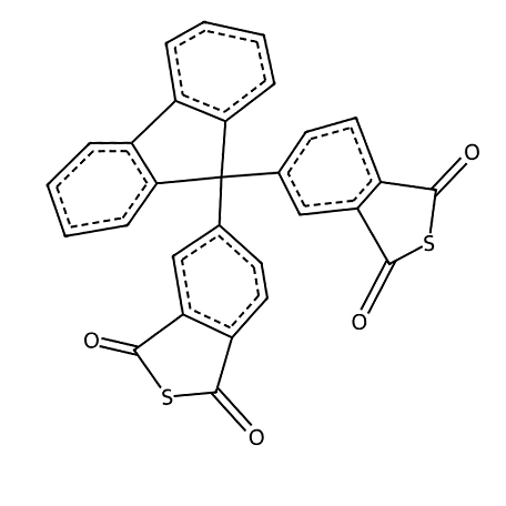 O=C1SC(=O)c2cc(C3(c4ccc5c(c4)C(=O)SC5=O)c4ccccc4-c4ccccc43)ccc21